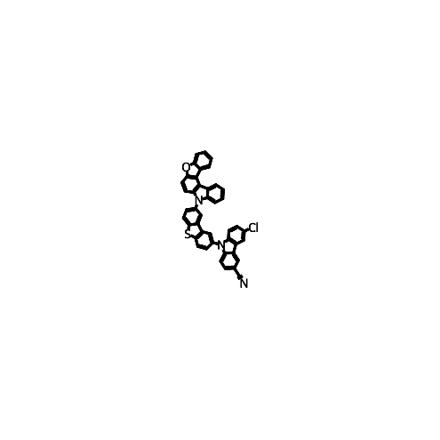 N#Cc1ccc2c(c1)c1cc(Cl)ccc1n2-c1ccc2sc3ccc(-n4c5ccccc5c5c6c(ccc54)oc4ccccc46)cc3c2c1